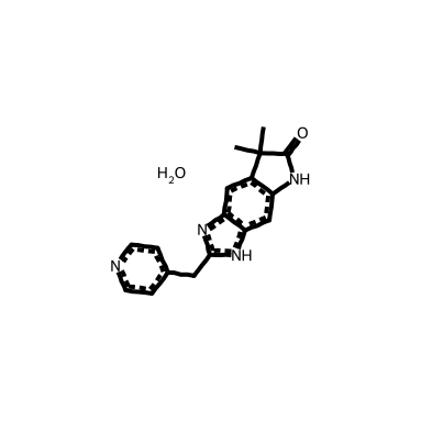 CC1(C)C(=O)Nc2cc3[nH]c(Cc4ccncc4)nc3cc21.O